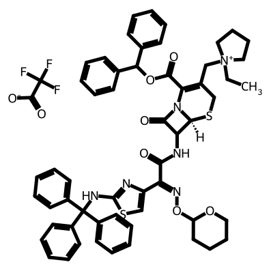 CC[N+]1(CC2=C(C(=O)OC(c3ccccc3)c3ccccc3)N3C(=O)C(NC(=O)C(=NOC4CCCCO4)c4csc(NC(c5ccccc5)(c5ccccc5)c5ccccc5)n4)[C@@H]3SC2)CCCC1.O=C([O-])C(F)(F)F